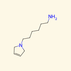 NCCCCCCN1CC=CC1